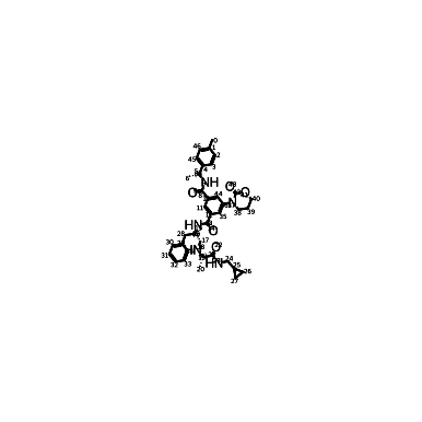 Cc1ccc([C@@H](C)NC(=O)c2cc(C(=O)N[C@H](CN[C@@H](C)C(=O)NCC3CC3)Cc3ccccc3)cc(N3CCCOC3=O)c2)cc1